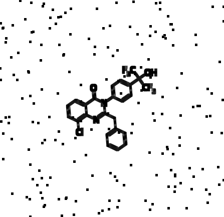 O=c1c2cccc(Cl)c2nc(Cc2ccccc2)n1-c1ccc(C(O)(C(F)(F)F)C(F)(F)F)cc1